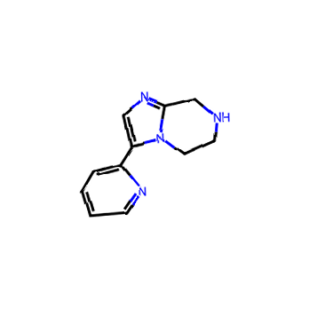 c1ccc(-c2cnc3n2CCNC3)nc1